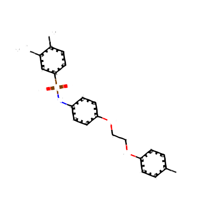 COc1ccc(S(=O)(=O)Nc2ccc(OCCOc3ccc(C(=O)O)cc3)cc2)cc1OC